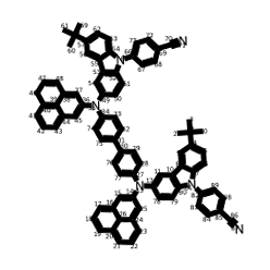 CC(C)(C)c1ccc2c(c1)c1cc(N(C3=CC4=CC=CC5=CC=CC(=C3)C54)c3ccc(-c4ccc(N(c5cc6c7c(cccc7c5)CC=C6)c5ccc6c(c5)c5cc(C(C)(C)C)ccc5n6-c5ccc(C#N)cc5)cc4)cc3)ccc1n2-c1ccc(C#N)cc1